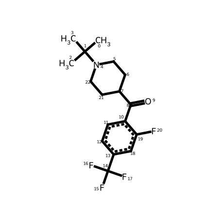 CC(C)(C)N1CCC(C(=O)c2ccc(C(F)(F)F)cc2F)CC1